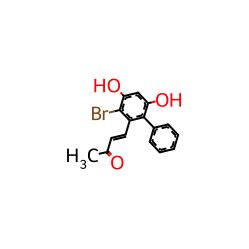 CC(=O)/C=C/c1c(Br)c(O)cc(O)c1-c1ccccc1